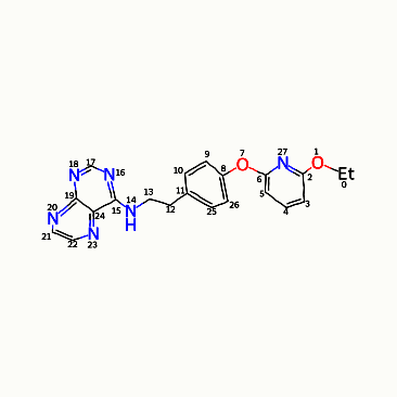 CCOc1cccc(Oc2ccc(CCNc3ncnc4nccnc34)cc2)n1